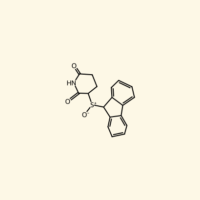 O=C1CCC([S+]([O-])C2c3ccccc3-c3ccccc32)C(=O)N1